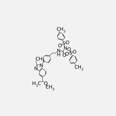 CCc1nc2cc(C(C)OC)ccc2n1-c1ccc(CCNC(=O)N(OS(=O)(=O)c2ccc(C)cc2)S(=O)(=O)c2ccc(C)cc2)cc1